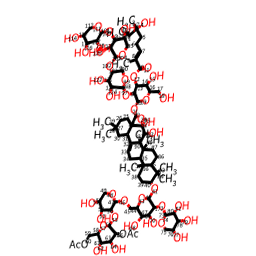 C=CC(C)(O)CC/C=C(\C)C(=O)OC1C(O)C(CO)OC(OC(=O)C23CCC(C)(C)CC2C2=CCC4C5(C)CCC(OC6OC(COC7OCC(O)C(O)C7OC7OC(COC(C)=O)C(O)C(O)C7OC(C)=O)C(O)C(O)C6OC6OCC(O)C(O)C6O)C(C)(C)C5CCC4(C)C2(C)C(O)C3O)C1OC1OCC(OC2OCC(O)C(OC3OCC(O)C(O)C3O)C2O)C(O)C1O